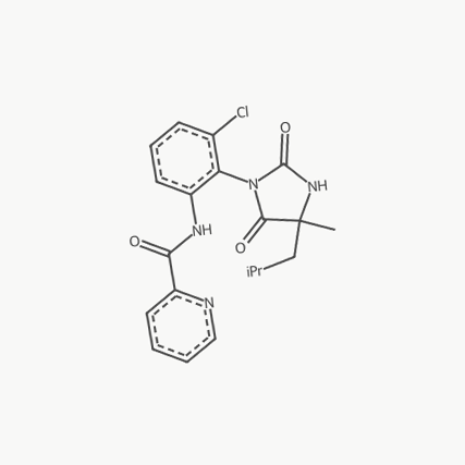 CC(C)CC1(C)NC(=O)N(c2c(Cl)cccc2NC(=O)c2ccccn2)C1=O